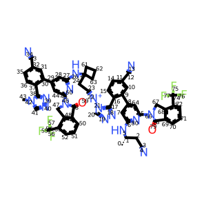 C[C@@H](CC#N)Nc1cc(-c2cc(C#N)ccc2-c2nncn2[N+]#CCC2(Nc3cc(-c4cc(C#N)ccc4-c4nncn4C)cc(N4Cc5c(cccc5C(F)(F)F)C4=O)n3)CCC2)cc(N2Cc3c(cccc3C(F)(F)F)C2=O)n1